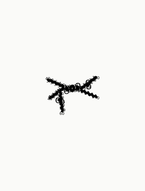 CCCCCCCCCN(CCCC(=O)OCCCCC)CC(=O)N1CCN(C(=O)CN(CCCCCCCCC)CCN(CCCCCC)CCCC(=O)OCCCCC)CC1